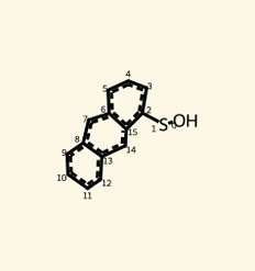 OSc1cccc2cc3ccccc3cc12